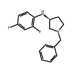 Fc1ccc(N[C@H]2CCN(Cc3ccccc3)C2)c(F)c1